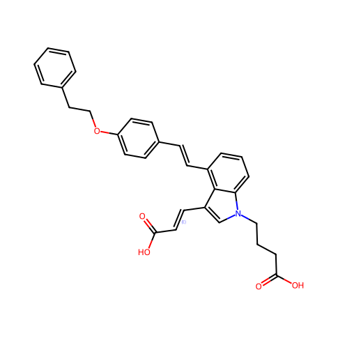 O=C(O)/C=C/c1cn(CCCC(=O)O)c2cccc(C=Cc3ccc(OCCc4ccccc4)cc3)c12